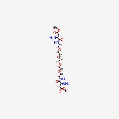 CC(C)(C)OC(=O)CC(N)C(=O)NCCOCCOCCOCCOCCNC(=O)C(N)CC(=O)OC(C)(C)C